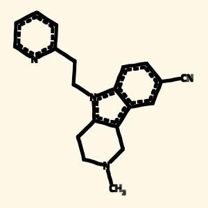 CN1CCc2c(c3cc(C#N)ccc3n2CCc2ccccn2)C1